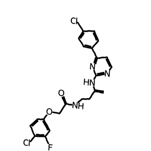 C=C(CCNC(=O)COc1ccc(Cl)c(F)c1)Nc1nccc(-c2ccc(Cl)cc2)n1